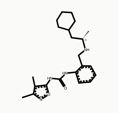 Cc1noc(NC(=O)Nc2ccccc2CN[C@@H](C)CC2CCCCC2)c1C